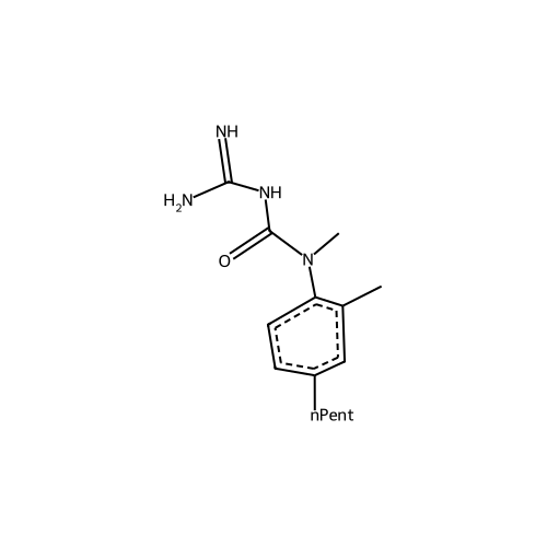 CCCCCc1ccc(N(C)C(=O)NC(=N)N)c(C)c1